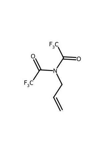 C=CCN(C(=O)C(F)(F)F)C(=O)C(F)(F)F